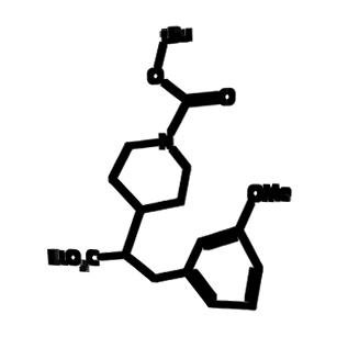 CCOC(=O)C(Cc1cccc(OC)c1)C1CCN(C(=O)OC(C)(C)C)CC1